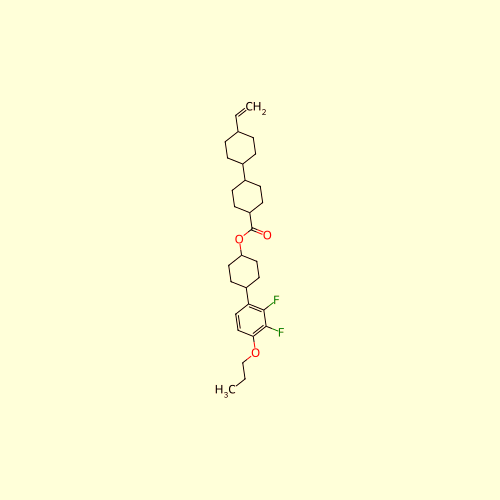 C=CC1CCC(C2CCC(C(=O)OC3CCC(c4ccc(OCCC)c(F)c4F)CC3)CC2)CC1